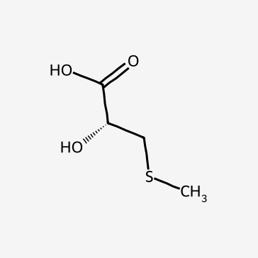 CSC[C@H](O)C(=O)O